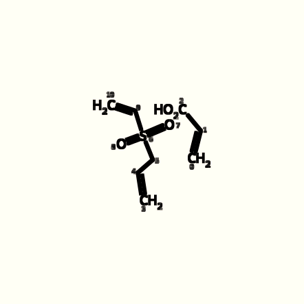 C=CC(=O)O.C=CCS(=O)(=O)C=C